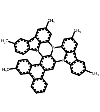 Cc1ccc2c(c1)c1ccccc1c1cc3c4c(c21)-n1c2ccc(C)cc2c2cc(C)cc(c21)B4c1cc(C)cc2c4cc(C)ccc4n-3c12